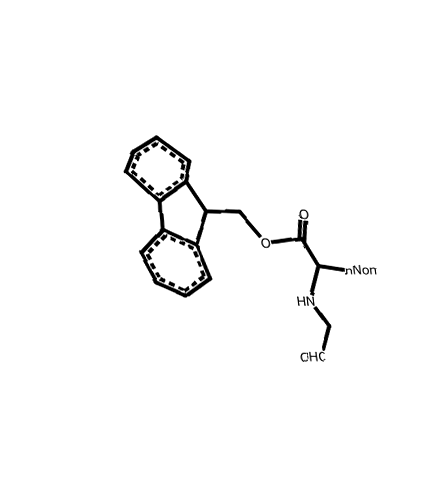 CCCCCCCCCC(NCC=O)C(=O)OCC1c2ccccc2-c2ccccc21